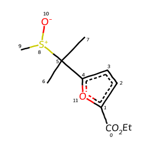 CCOC(=O)c1ccc(C(C)(C)[S+](C)[O-])o1